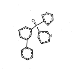 O=P(c1cccnc1)(c1cccnc1)c1cccc(-c2ccccc2)c1